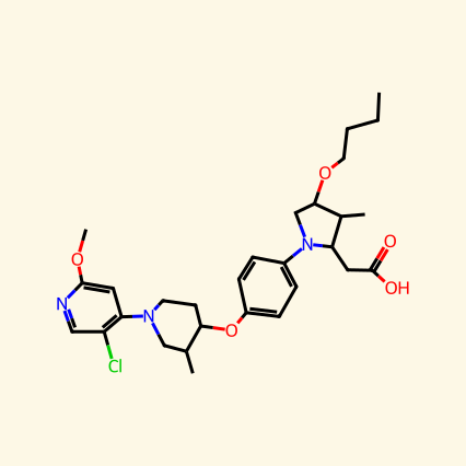 CCCCOC1CN(c2ccc(OC3CCN(c4cc(OC)ncc4Cl)CC3C)cc2)C(CC(=O)O)C1C